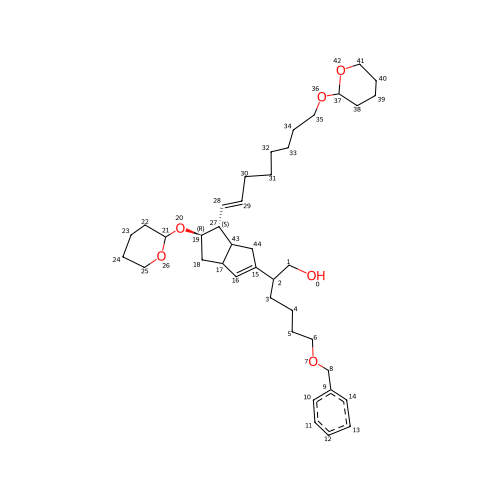 OCC(CCCCOCc1ccccc1)C1=CC2C[C@@H](OC3CCCCO3)[C@H](C=CCCCCCCOC3CCCCO3)C2C1